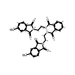 CC(C)(C)c1ccc2c(c1)C(=O)N(CCOC(=O)c1ccccc1C(=O)OCCN1C(=O)c3ccc(C(C)(C)C)cc3C1=O)C2=O